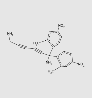 Cc1cc([N+](=O)[O-])ccc1C(N)(C#CC#CCN)c1ccc([N+](=O)[O-])cc1C